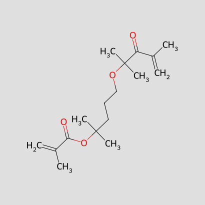 C=C(C)C(=O)OC(C)(C)CCCOC(C)(C)C(=O)C(=C)C